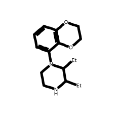 CCC1NCCN(c2cccc3c2OCCO3)C1CC